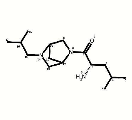 CC(C)C[C@H](N)C(=O)N1CC2CC1CN2CC(C)C